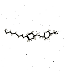 CCCCCCCCc1ccc(OCC2CCC(C#N)CC2)cc1